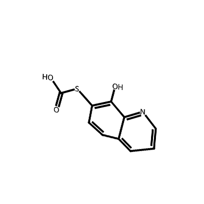 O=C(O)Sc1ccc2cccnc2c1O